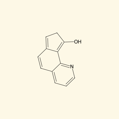 OC1=c2c(ccc3cccnc23)=CC1